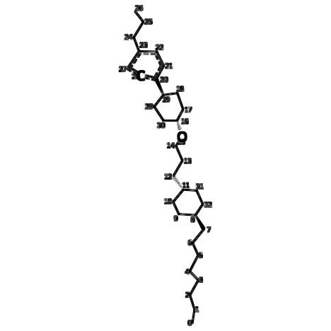 CCCCCCCC[C@H]1CC[C@H](CCCO[C@H]2CC[C@H](c3ccc(CCC)cc3)CC2)CC1